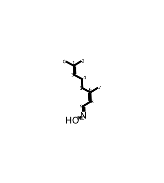 CC(C)=CCC/C(C)=C\C=NO